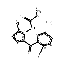 Br.NCC(=O)Nn1c(Cl)ccc1C(=O)c1ccccc1F